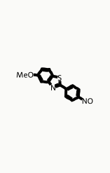 COc1ccc2sc(-c3ccc(N=O)cc3)nc2c1